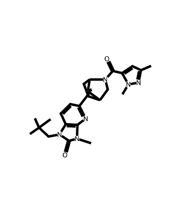 Cc1cc(C(=O)N2CC3CCC2C=C3c2ccc3c(n2)n(C)c(=O)n3CC(C)(C)C)n(C)n1